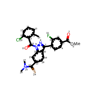 COC(=O)c1ccc(-c2nn(C(=O)c3c(C)cccc3Cl)c3cc(C(=S)N(C)C)ccc23)c(F)c1